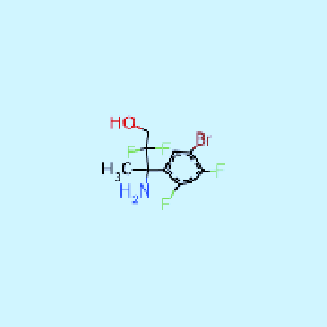 CC(N)(c1cc(Br)c(F)cc1F)C(F)(F)CO